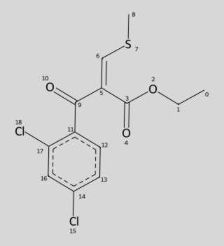 CCOC(=O)/C(=C\SC)C(=O)c1ccc(Cl)cc1Cl